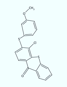 COc1cccc(Sc2ccc3c(=O)c4ccccc4sc3c2Cl)c1